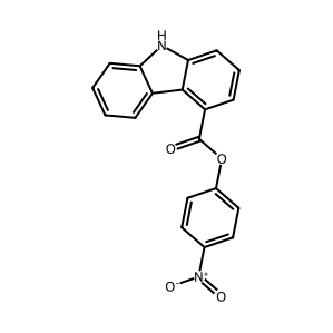 O=C(Oc1ccc([N+](=O)[O-])cc1)c1cccc2[nH]c3ccccc3c12